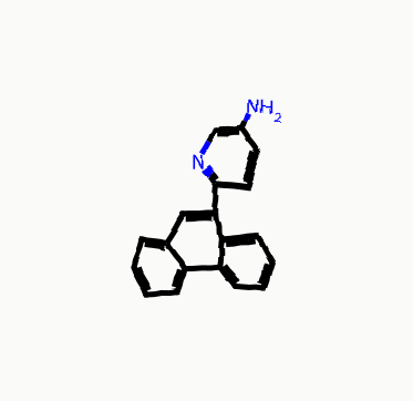 Nc1ccc(-c2cc3ccccc3c3ccccc23)nc1